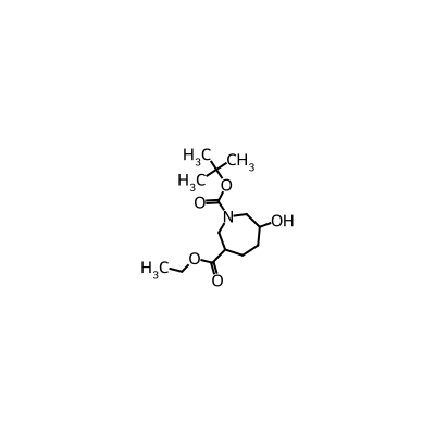 CCOC(=O)C1CCC(O)CN(C(=O)OC(C)(C)C)C1